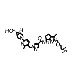 Cc1nc(N2CC3[C@@H](C2)[C@H]3CO)ccc1Cn1cc(C(=O)N[C@@H]2CCc3c2nn(COCCS(C)(C)C)c3C)cn1